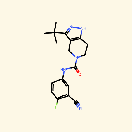 CC(C)(C)c1n[nH]c2c1CN(C(=O)Nc1ccc(F)c(C#N)c1)CC2